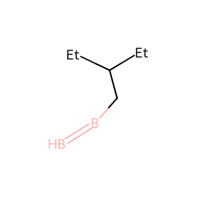 B=BCC(CC)CC